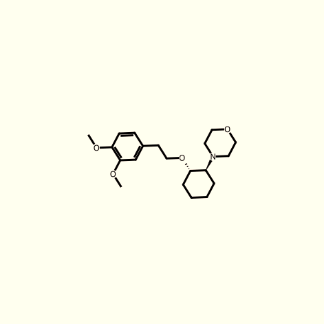 COc1ccc(CCO[C@H]2CCCC[C@@H]2N2CCOCC2)cc1OC